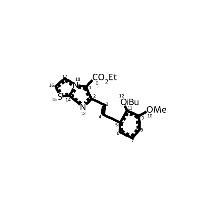 CCOC(=O)c1c(/C=C/c2cccc(OC)c2OCC(C)C)nc2sccn12